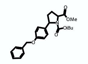 COC(=O)C1CCC(c2ccc(OCc3ccccc3)cc2)N1C(=O)OCC(C)C